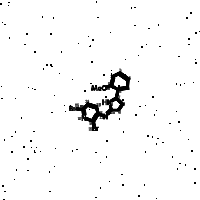 COc1ccccc1C1CCC(=Nc2ccc(Br)nc2Br)N1